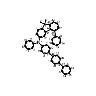 CC1(C)c2ccc(N(c3ccccc3)c3ccc(-c4ccc(-c5ccccc5)cc4)cc3)cc2-c2c(-c3ccccc3)cccc21